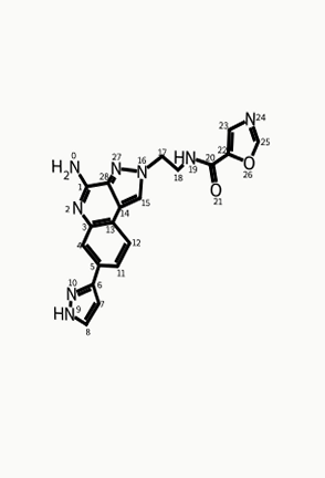 Nc1nc2cc(-c3cc[nH]n3)ccc2c2cn(CCNC(=O)c3cnco3)nc12